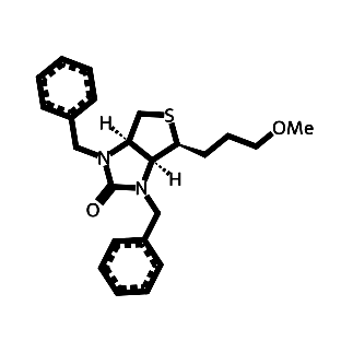 COCCC[C@@H]1SC[C@H]2[C@@H]1N(Cc1ccccc1)C(=O)N2Cc1ccccc1